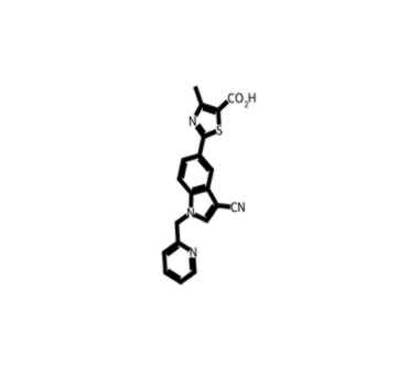 Cc1nc(-c2ccc3c(c2)c(C#N)cn3Cc2ccccn2)sc1C(=O)O